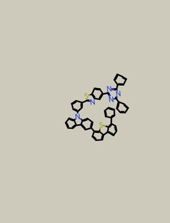 c1ccc(-c2nc(-c3ccccc3)nc(-c3ccc4sc(-c5cccc(-n6c7ccccc7c7cc(-c8cccc9c8sc8c(-c%10ccccc%10)cccc89)ccc76)c5)nc4c3)n2)cc1